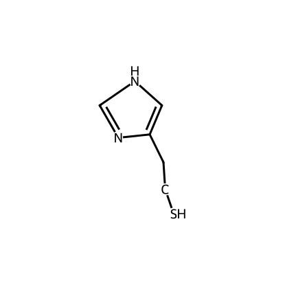 SCCc1c[nH]cn1